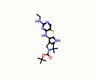 CCNc1ncc(F)c(Nc2c[nH]c3c2CN(C(=O)OC(C)(C)C)C3(C)C)n1